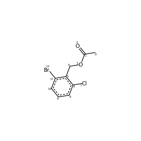 CC(=O)OCc1c(Cl)cccc1Br